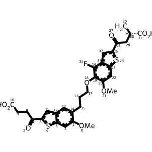 COc1cc2sc(C(=O)CCC(=O)O)cc2cc1CCCOc1c(OC)cc2sc(C(=O)C[C@H](C)C(=O)O)cc2c1F